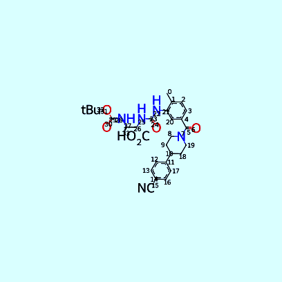 Cc1ccc(C(=O)N2CCC(c3ccc(C#N)cc3)CC2)cc1NC(=O)NC[C@H](NC(=O)OC(C)(C)C)C(=O)O